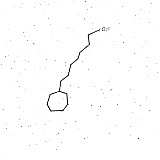 CCCCCCCCCCCCCCCC1CCCCCC1